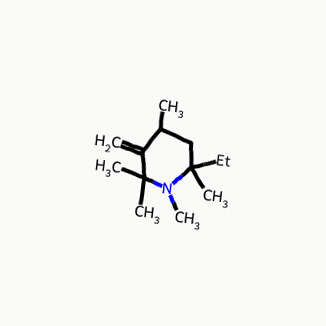 C=C1C(C)CC(C)(CC)N(C)C1(C)C